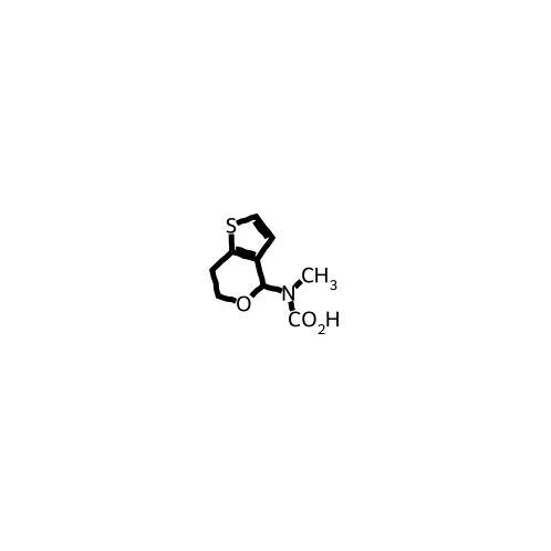 CN(C(=O)O)C1OCCc2sccc21